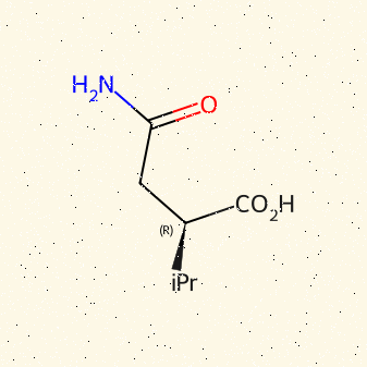 CC(C)[C@@H](CC(N)=O)C(=O)O